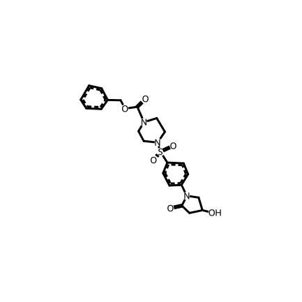 O=C(OCc1ccccc1)N1CCN(S(=O)(=O)c2ccc(N3CC(O)CC3=O)cc2)CC1